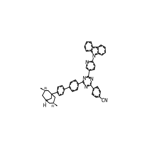 C[C@@H]1C[C@@H]2C[C@H](C)CC(c3ccc(-c4ccc(-c5nc(-c6ccc(C#N)cc6)nc(-c6ccc(-n7c8ccccc8c8ccccc87)nc6)n5)cc4)cc3)(C1)C2